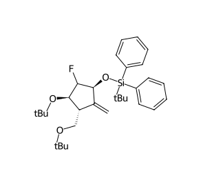 C=C1[C@H](O[Si](c2ccccc2)(c2ccccc2)C(C)(C)C)C(F)[C@H](OC(C)(C)C)[C@H]1COC(C)(C)C